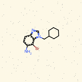 Nc1ccc2ncn(CC3CCCCC3)c2c1Br